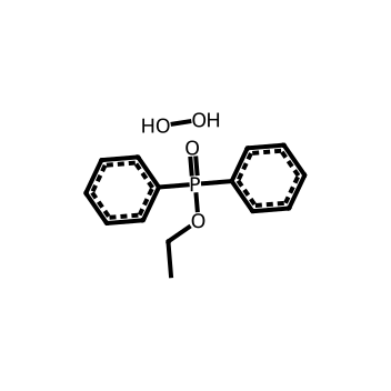 CCOP(=O)(c1ccccc1)c1ccccc1.OO